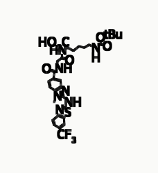 Cn1c(Nc2nc3ccc(C(F)(F)F)cc3s2)nc2cc(C(=O)NCC(=O)NC(CCCCNC(=O)OC(C)(C)C)C(=O)O)ccc21